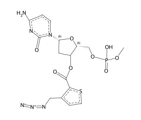 COP(=O)(O)OC[C@H]1O[C@@H](n2ccc(N)nc2=O)CC1OC(=O)c1sccc1CN=[N+]=[N-]